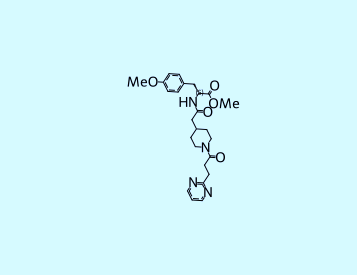 COC(=O)[C@H](Cc1ccc(OC)cc1)NC(=O)CC1CCN(C(=O)CCc2ncccn2)CC1